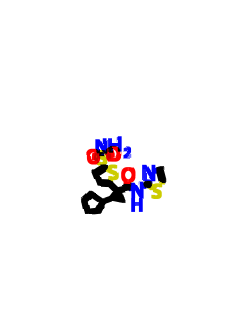 NS(=O)(=O)c1ccc(C2(C(=O)Nc3nccs3)CC2C2CCCC2)s1